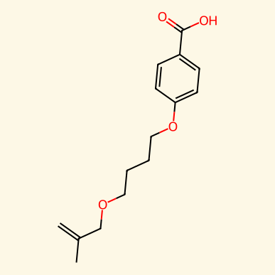 C=C(C)COCCCCOc1ccc(C(=O)O)cc1